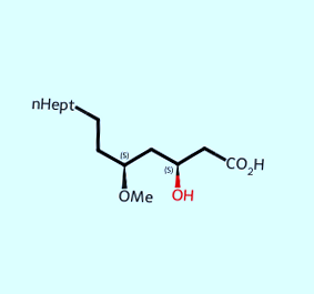 CCCCCCCCC[C@@H](C[C@H](O)CC(=O)O)OC